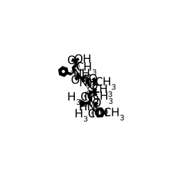 CC(=O)O[C@H](C[C@H](C(C)C)N(C)C(=O)[C@@H](NC(=O)[C@H]1CN(C)CCN1C)C1CC1)c1nc(C(=O)N[C@@H](Cc2ccccc2)C[C@H](C)C(=O)O)cs1